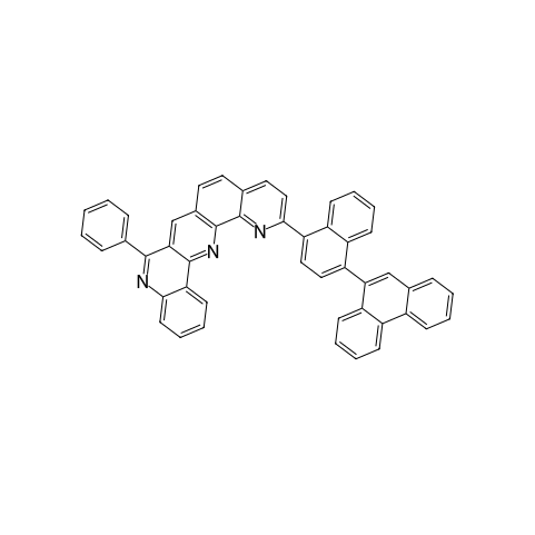 c1ccc(-c2nc3ccccc3c3nc4c(ccc5ccc(-c6ccc(-c7cc8ccccc8c8ccccc78)c7ccccc67)nc54)cc23)cc1